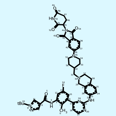 Cc1c(NC(=O)c2cnn(C(C)(C)C)c2)cc(F)cc1-c1ccnc(Nc2ccc3c(c2)CN(CC2CCN(c4ccc5c(c4)C(=O)N(C4CCC(=O)NC4=O)C5=O)CC2)CC3)n1